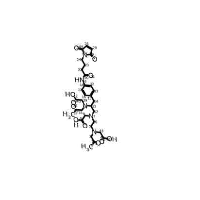 CC(=O)CN(CCN(CC(=O)O)CC(Cc1ccc(NC(=O)CCCN2C(=O)C=CC2=O)cc1)N(CC(C)=O)CC(=O)O)CC(=O)O